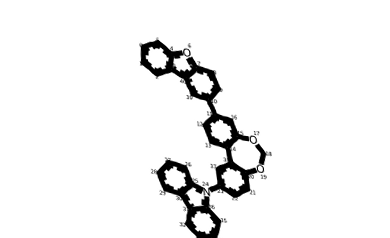 c1ccc2c(c1)oc1ccc(-c3ccc4c(c3)OCOc3ccc(-n5c6ccccc6c6ccccc65)cc3-4)cc12